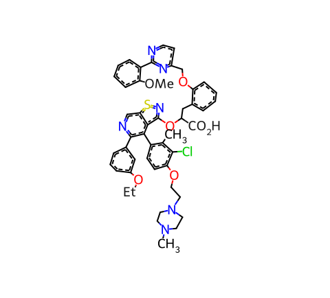 CCOc1cccc(-c2ncc3snc(OC(Cc4ccccc4OCc4ccnc(-c5ccccc5OC)n4)C(=O)O)c3c2-c2ccc(OCCN3CCN(C)CC3)c(Cl)c2C)c1